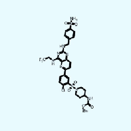 CC(C)(C)OC(=O)NC1CCN(S(=O)(=O)c2cc(-c3ccc4nc(NCc5ccc(S(N)(=O)=O)cc5)nc(NCC(F)(F)F)c4n3)ccc2Cl)CC1